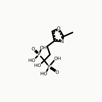 Cc1nc(CCC(O)(P(=O)(O)O)P(=O)(O)O)co1